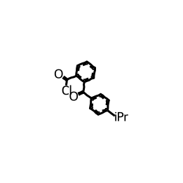 CC(C)c1ccc(C(=O)c2ccccc2C(=O)Cl)cc1